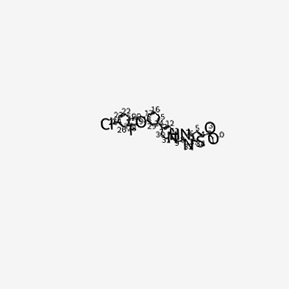 COC(=O)c1cc2[nH]c(CN3CC=C(c4cccc(OCc5ccc(Cl)cc5F)c4)CC3)nc2s1